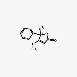 COC1=CC(=O)O[C@@]1(C)c1ccccc1